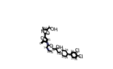 C=c1oc(-c2nnc(CO)o2)c/c1=C(/C=C\C)OC[C@@H](O)CN1CCC(c2ccc(Cl)c(Cl)c2)CC1